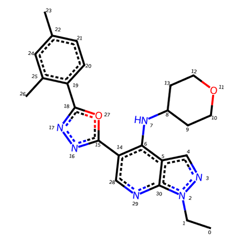 CCn1ncc2c(NC3CCOCC3)c(-c3nnc(-c4ccc(C)cc4C)o3)cnc21